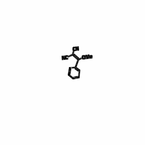 COC(=C(C#N)C#N)c1ccccc1